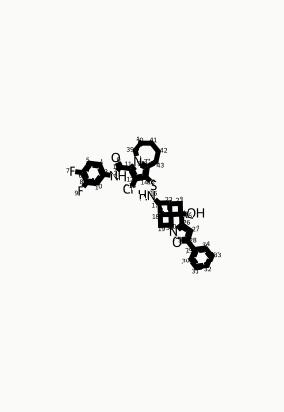 O=C(Nc1ccc(F)c(F)c1)c1c(Cl)c(SNC2C3CCC34C2CC4(O)c2cc(-c3ccccc3)on2)c2n1CCCCC2